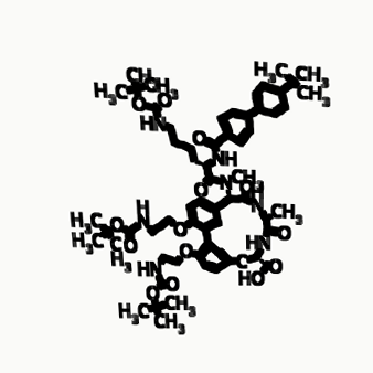 C[C@@H]1NC(=O)[C@@H](N(C)C(=O)[C@H](CCCCNC(=O)OC(C)(C)C)NC(=O)c2ccc(-c3ccc(C(C)(C)C)cc3)cc2)c2ccc(OCCNC(=O)OC(C)(C)C)c(c2)-c2cc(ccc2OCCNC(=O)OC(C)(C)C)C[C@@H](C(=O)O)NC1=O